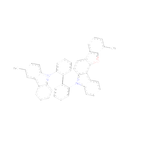 N#Cc1ccc2c(c1)c1ccccc1n2-c1ccccc1-c1ccccc1-n1c2ccccc2c2c3oc4c(C#N)cccc4c3ccc21